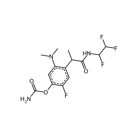 CC(C(=O)NC(F)C(F)F)c1cc(F)c(OC(N)=O)cc1N(C)C